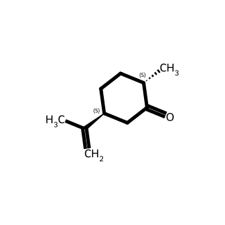 C=C(C)[C@H]1CC[C@H](C)C(=O)C1